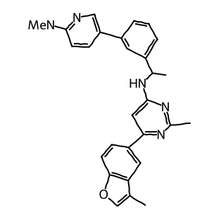 CNc1ccc(-c2cccc(C(C)Nc3cc(-c4ccc5occ(C)c5c4)nc(C)n3)c2)cn1